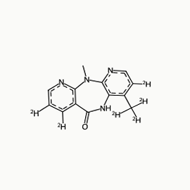 [2H]c1cnc2c(c1[2H])C(=O)Nc1c(ncc([2H])c1C([2H])([2H])[2H])N2C